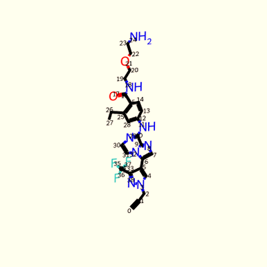 C#CCn1cc(-c2cnc3c(Nc4ccc(C(=O)NCCOCCN)c(CC)c4)nccn23)c(C(F)(F)F)n1